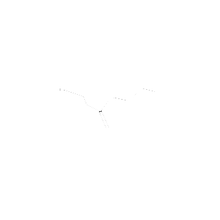 CC(C)(C)CCC(=O)OOOC(C)(C)C